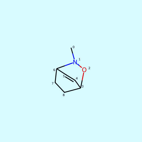 CN1OC2C=CC1CC2